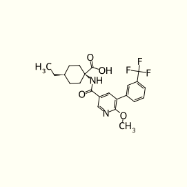 CC[C@H]1CC[C@](NC(=O)c2cnc(OC)c(-c3cccc(C(F)(F)F)c3)c2)(C(=O)O)CC1